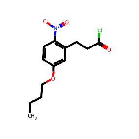 CCCCOc1ccc([N+](=O)[O-])c(CCC(=O)Cl)c1